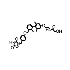 Cc1cc(OCCNC(=O)CO)cc(C)c1-c1cccc(COc2ccc(Cn3oc(=O)[nH]c3=O)cc2)c1C